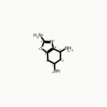 CCCC1Cc2sc(N)nc2C(N)C1